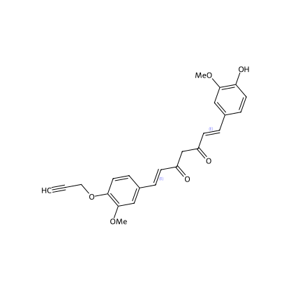 C#CCOc1ccc(/C=C/C(=O)CC(=O)/C=C/c2ccc(O)c(OC)c2)cc1OC